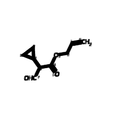 C=CCOC(=O)C(C=O)C1CC1